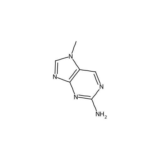 Cn1cnc2nc(N)ncc21